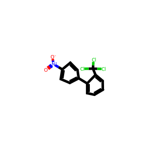 O=[N+]([O-])c1ccc(-c2cc[c]cc2C(Cl)(Cl)Cl)cc1